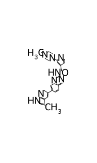 Cc1c[nH]c2ncc(-c3ccc4cnc(NC(=O)c5ccnc(N6CCN(C)CC6)c5)nc4c3)cc12